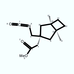 COC(=O)C[C@@]1(CN=C=O)C[C@]2(C)CC[C@]2(C)C1